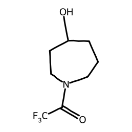 O=C(N1CCCC(O)CC1)C(F)(F)F